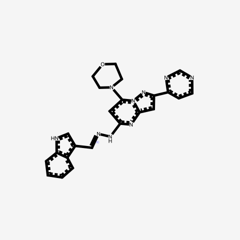 C(=N\Nc1cc(N2CCOCC2)n2nc(-c3ccncn3)cc2n1)/c1c[nH]c2ccccc12